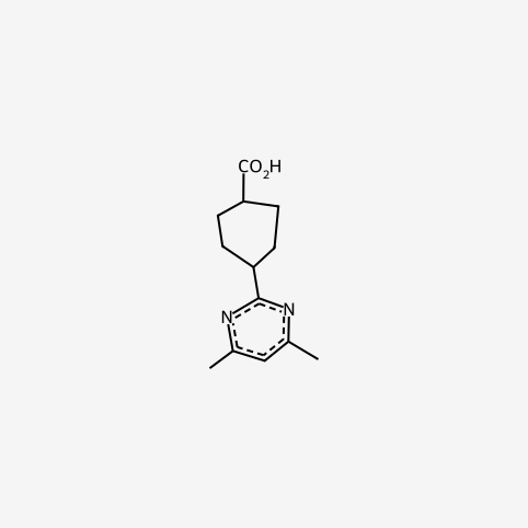 Cc1cc(C)nc(C2CCC(C(=O)O)CC2)n1